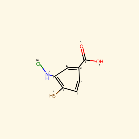 O=C(O)c1ccc(S)c(NCl)c1